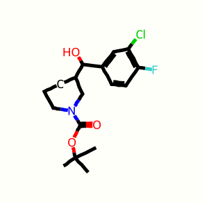 CC(C)(C)OC(=O)N1CCCC(C(O)c2ccc(F)c(Cl)c2)C1